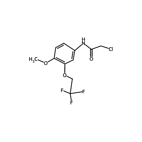 COc1ccc(NC(=O)CCl)cc1OCC(F)(F)F